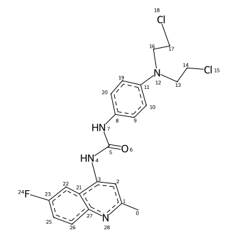 Cc1cc(NC(=O)Nc2ccc(N(CCCl)CCCl)cc2)c2cc(F)ccc2n1